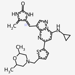 C=c1[nH]c(=O)[nH]/c1=C\c1cnn2c(NC3CC3)cc(-c3ccc(CN4CC(C)OC(C)C4)s3)nc12